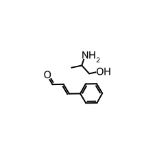 CC(N)CO.O=C/C=C/c1ccccc1